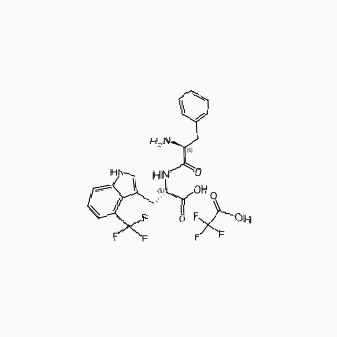 N[C@@H](Cc1ccccc1)C(=O)N[C@@H](Cc1c[nH]c2cccc(C(F)(F)F)c12)C(=O)O.O=C(O)C(F)(F)F